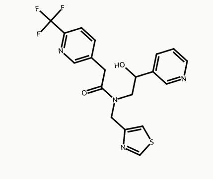 O=C(Cc1ccc(C(F)(F)F)nc1)N(Cc1cscn1)CC(O)c1cccnc1